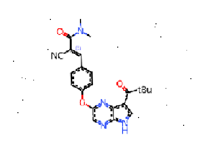 CN(C)C(=O)/C(C#N)=C/c1ccc(Oc2cnc3[nH]cc(C(=O)C(C)(C)C)c3n2)cc1